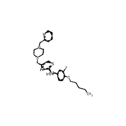 CCCCCOc1ccc(Nc2nc(CN3CCN(Cc4ccccn4)CC3)cs2)cc1F